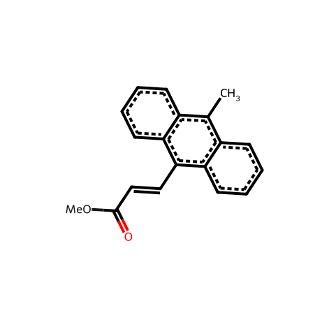 COC(=O)/C=C/c1c2ccccc2c(C)c2ccccc12